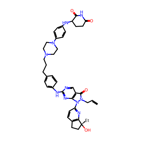 C=CCn1c(=O)c2cnc(Nc3ccc(CCCN4CCN(c5ccc(NC6CCC(=O)NC6=O)cc5)CC4)cc3)nc2n1-c1ccc2c(n1)[C@@](O)(CC)CC2